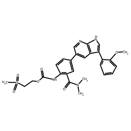 COc1ccccc1-c1c[nH]c2ncc(-c3ccc(NC(=O)OCCS(C)(=O)=O)c(C(=O)N(C)C)c3)cc12